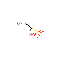 COCCSP(=O)(O)O